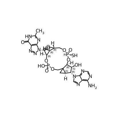 Cc1nc2c(nnn2[C@@H]2O[C@@H]3CO[P@@](=O)(S)O[C@H]4[C@@H](O)[C@H](n5cnc6c(N)ncnc65)[C@H]5CC54COP(=O)(O)O[C@@H]2[C@@H]3O)c(=O)[nH]1